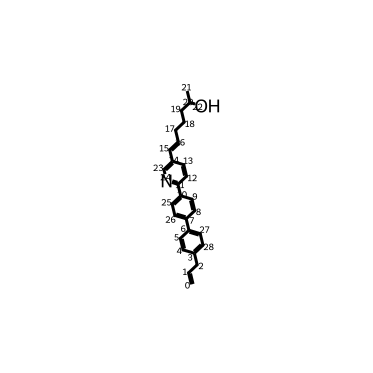 C=CCc1ccc(-c2ccc(-c3ccc(/C=C/CCCC(C)O)cn3)cc2)cc1